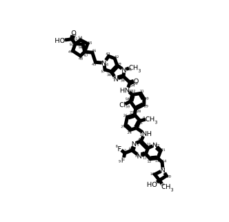 Cc1c(Nc2nc(C(F)F)nc3cc(CN4CC(C)(O)C4)cnc23)cccc1-c1cccc(NC(=O)c2nc3c(n2C)CCN(CCC24CCC(C(=O)O)(CC2)C4)C3)c1Cl